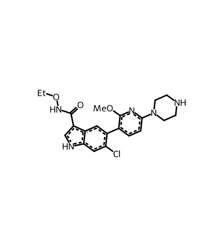 CCONC(=O)c1c[nH]c2cc(Cl)c(-c3ccc(N4CCNCC4)nc3OC)cc12